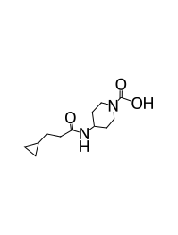 O=C(CCC1CC1)NC1CCN(C(=O)O)CC1